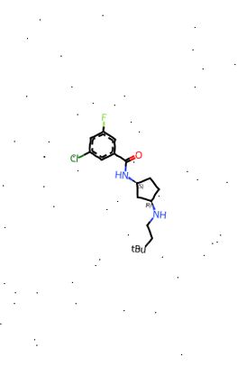 CC(C)(C)CCN[C@@H]1CC[C@H](NC(=O)c2cc(F)cc(Cl)c2)C1